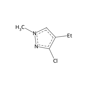 CCc1cn(C)nc1Cl